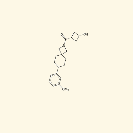 COc1cccc(C2CCC3(CC2)CN(C(=O)[C@H]2C[C@@H](O)C2)C3)c1